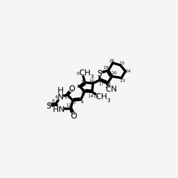 CC1=CC(C=C2C(=O)NC(=S)NC2=O)=C(C)C1c1sc2c(c1C#N)CCCC2